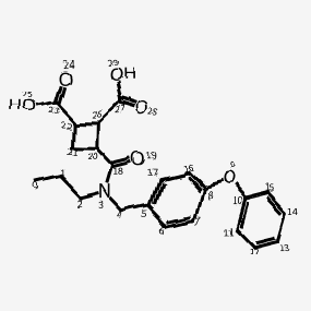 CCCN(Cc1ccc(Oc2ccccc2)cc1)C(=O)C1CC(C(=O)O)C1C(=O)O